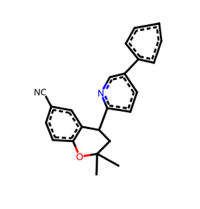 CC1(C)CC(c2ccc(-c3ccccc3)cn2)c2cc(C#N)ccc2O1